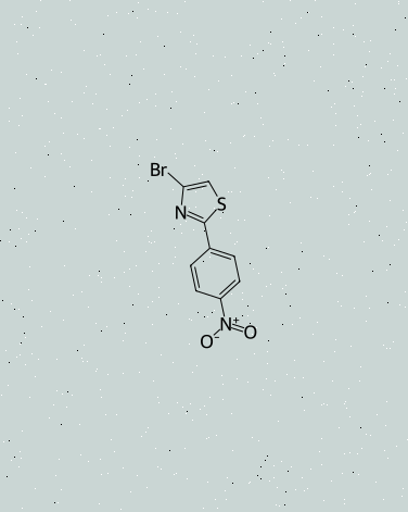 O=[N+]([O-])c1ccc(-c2nc(Br)cs2)cc1